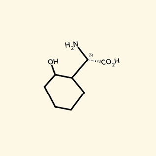 N[C@H](C(=O)O)C1CCCCC1O